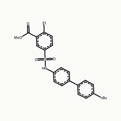 CCCCc1ccc(-c2ccc(NS(=O)(=O)c3ccc(CC)c(C(=O)OC)c3)cc2)cc1